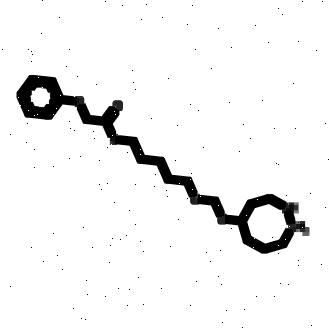 O=C(COc1ccccc1)SCCCCCOCOC1CCC[SiH2]NCC1